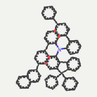 c1ccc(-c2ccc(-c3ccccc3N(c3ccccc3-c3ccc(-c4ccc5ccccc5c4)cc3)c3cccc4c3-c3ccccc3C4(c3ccccc3)c3ccccc3)cc2)cc1